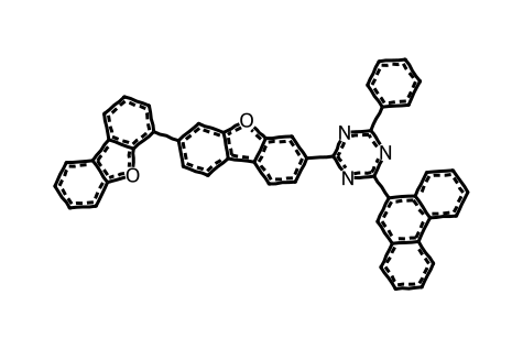 c1ccc(-c2nc(-c3ccc4c(c3)oc3cc(-c5cccc6c5oc5ccccc56)ccc34)nc(-c3cc4ccccc4c4ccccc34)n2)cc1